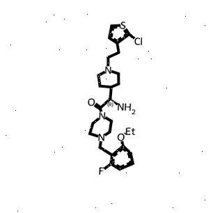 CCOc1cccc(F)c1CN1CCN(C(=O)[C@H](N)C2CCN(CCc3ccsc3Cl)CC2)CC1